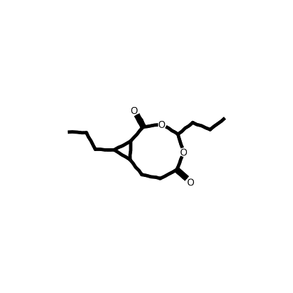 CCCC1OC(=O)CCC2C(CCC)C2C(=O)O1